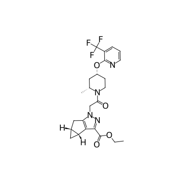 CCOC(=O)c1nn(CC(=O)N2CC[C@@H](Oc3ncccc3C(F)(F)F)C[C@H]2C)c2c1[C@@H]1C[C@@H]1C2